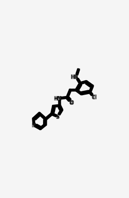 CBc1ccc(Cl)cc1CC(=O)Nc1csc(-c2ccncc2)c1